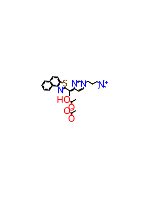 CC(=C1C=CN(CCC[N+](C)(C)C)C=N1)c1nc2c(ccc3ccccc32)s1.CC(=O)O.CC(=O)[O-]